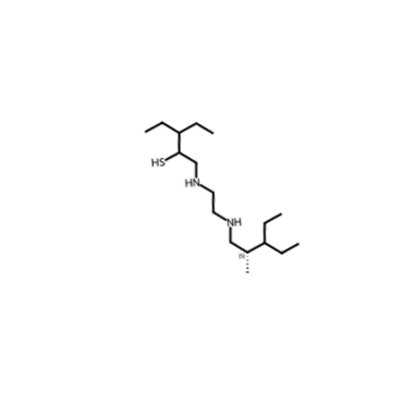 CCC(CC)C(S)CNCCNC[C@@H](C)C(CC)CC